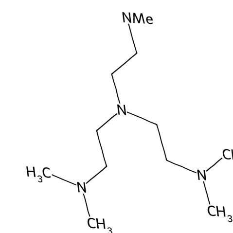 CNCCN(CCN(C)C)CCN(C)C